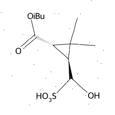 CC(C)COC(=O)[C@H]1[C@H](C(O)S(=O)(=O)O)C1(C)C